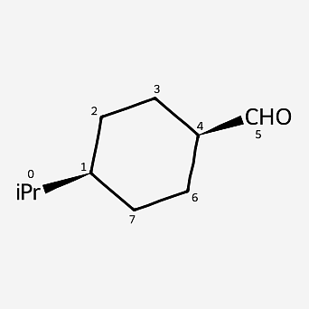 CC(C)[C@H]1CC[C@@H](C=O)CC1